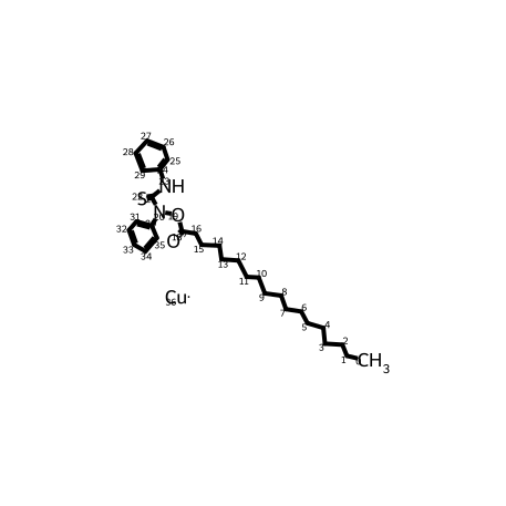 CCCCCCCCCCCCCCCCCC(=O)ON(C(=S)Nc1ccccc1)c1ccccc1.[Cu]